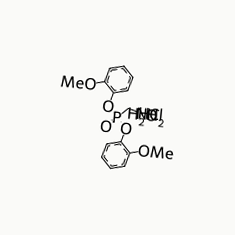 COc1ccccc1OP(=O)(CN)Oc1ccccc1OC.Cl.O